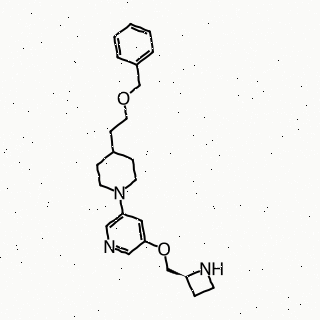 c1ccc(COCCC2CCN(c3cncc(OC[C@@H]4CCN4)c3)CC2)cc1